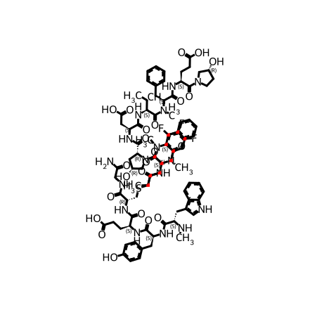 CCCC[C@@H](C(=O)N1C[C@H](O)C[C@@H]1C(=O)N[C@@H](CC(=O)O)C(=O)N[C@H](C(=O)N(C)[C@@H](Cc1ccccc1)C(=O)N[C@@H](CCC(=O)O)C(=O)N1CC[C@@H](O)C1)C(C)C)N(C)C(=O)[C@H](Cc1ccccc1)N(C)C(=O)[C@H](Cc1cc(F)c(F)c(F)c1)NC(=O)CSC[C@H](NC(=O)[C@H](CCC(=O)O)NC(=O)[C@H](Cc1ccc(O)cc1)NC(=O)[C@H](Cc1c[nH]c2ccccc12)NC)C(=O)NCC(N)=O